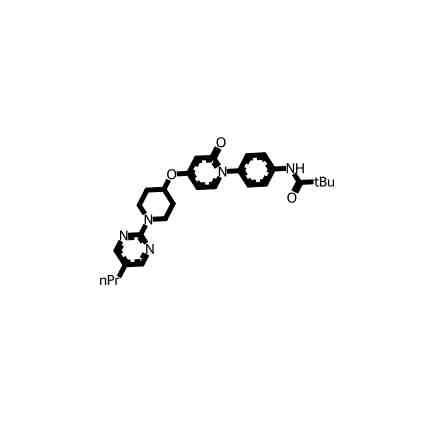 CCCc1cnc(N2CCC(Oc3ccn(-c4ccc(NC(=O)C(C)(C)C)cc4)c(=O)c3)CC2)nc1